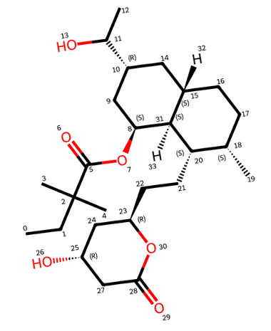 CCC(C)(C)C(=O)O[C@H]1C[C@H](C(C)O)C[C@@H]2CC[C@H](C)[C@H](CC[C@@H]3C[C@@H](O)CC(=O)O3)[C@H]21